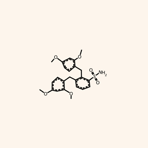 COc1ccc(Cc2cccc(S(N)(=O)=O)c2Cc2ccc(OC)cc2OC)c(OC)c1